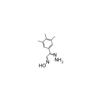 Cc1cc(C(/C=N/O)=N/N)cc(C)c1C